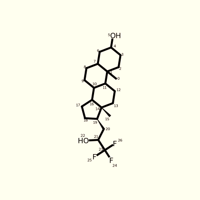 CC12CCC(O)CC1CCC1C2CC[C@@]2(C)C1CC[C@@H]2CC(O)C(F)(F)F